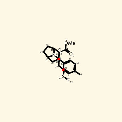 COC(=O)[C@H]1C(c2ccc(C)cc2)CC2CCC1N2CCCSF